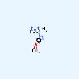 CCOC(=O)Oc1ccc2c(c1)ncn2CCC(C)(C)N